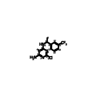 CC(Nc1nc(N)nc(Cl)n1)c1cccc(C(F)(F)F)c1